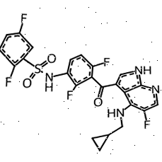 O=C(c1c(F)ccc(NS(=O)(=O)c2cc(F)ccc2F)c1F)c1c[nH]c2ncc(F)c(NCC3CC3)c12